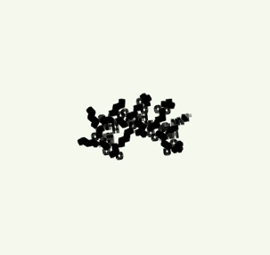 CCCCC[C@H](NC(=O)[C@H](CCCCC)NC(=O)[C@H](CCCCC)NC(=O)[C@H](CCCCC)NC(=O)CNC(=O)[C@H](CC(=O)OC(C)(C)C)NC(=O)[C@@H](NC(=O)[C@H](CCC(=O)OC(C)(C)C)NC(=O)[C@H](CC(=O)OC(C)(C)C)NC(=O)CN=[N+]=[N-])C(C)C)C(C)=O